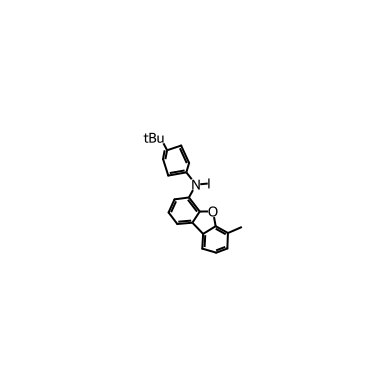 Cc1cccc2c1oc1c(N(I)c3ccc(C(C)(C)C)cc3)cccc12